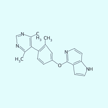 Cc1cc(Oc2nccc3[nH]ccc23)ccc1-c1c(C)ncnc1C